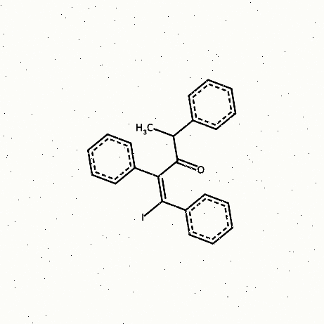 CC(C(=O)C(=C(I)c1ccccc1)c1ccccc1)c1ccccc1